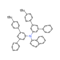 CC(C)(C)c1ccc(-c2cc(-c3ccccc3)cc(N(c3cc(-c4ccccc4)cc(-c4ccc(C(C)(C)C)cc4)c3)c3cccc4ccccc34)c2)cc1